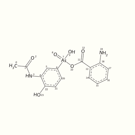 CC(=O)Nc1cc([As](=O)(O)OC(=O)c2ccccc2N)ccc1O